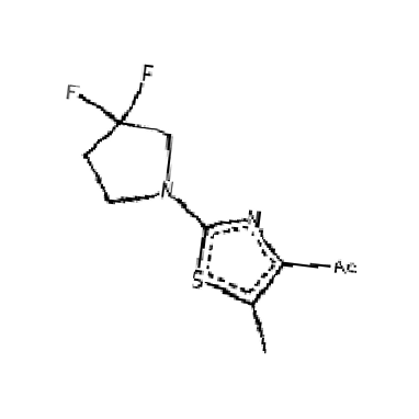 CC(=O)c1nc(N2CCC(F)(F)C2)sc1C